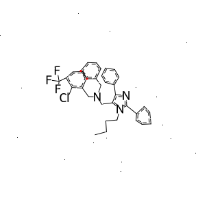 CCCCn1c(-c2ccccc2)nc(-c2ccccc2)c1CN(Cc1ccccc1)Cc1cccc(C(F)(F)F)c1Cl